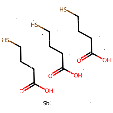 O=C(O)CCCS.O=C(O)CCCS.O=C(O)CCCS.[Sb]